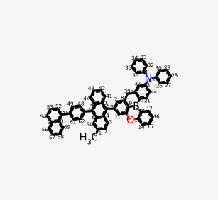 Cc1ccc2c(-c3cc4c5c(c3)Oc3ccccc3B5c3ccc(N(c5ccccc5)c5ccccc5)cc3C4)c3ccccc3c(-c3ccc(-c4cccc5ccccc45)cc3)c2c1